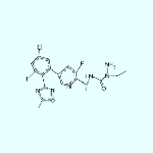 CCN(N)C(=O)NC(C)c1ncc(-c2cc(Cl)cc(F)c2-c2noc(C)n2)cc1F